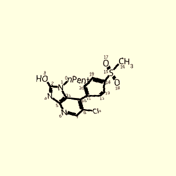 CCCCCn1c(O)nc2ncc(Cl)c(-c3ccc(S(C)(=O)=O)cc3)c21